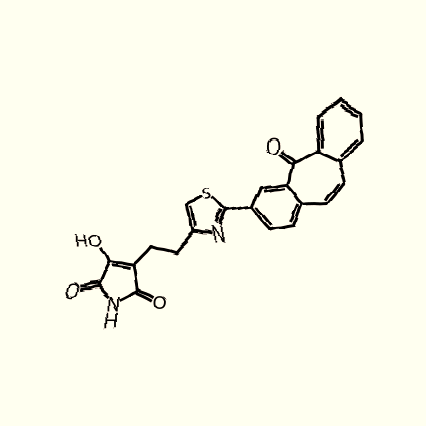 O=C1NC(=O)C(CCc2csc(-c3ccc4ccc5ccccc5c(=O)c4c3)n2)=C1O